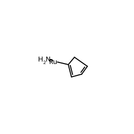 [NH2][Ru][C]1=CC=CC1